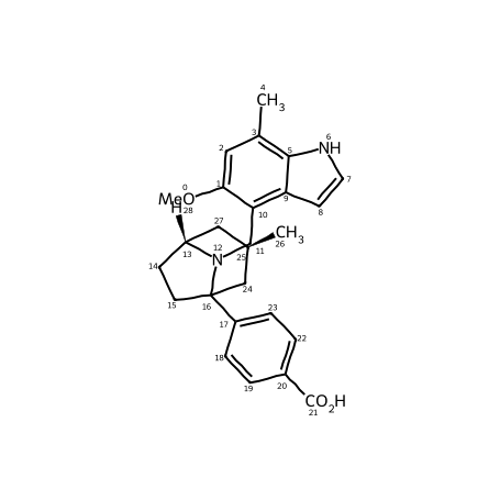 COc1cc(C)c2[nH]ccc2c1CN1[C@@H]2CCC1(c1ccc(C(=O)O)cc1)C[C@H](C)C2